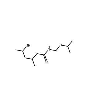 CC(S)CC(C)CC(=O)NCOC(C)C